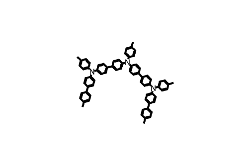 Cc1ccc(-c2ccc(N(c3ccc(C)cc3)c3ccc(-c4ccc(N(c5ccc(C)cc5)c5ccc(-c6ccc(N(c7ccc(C)cc7)c7ccc(-c8ccc(C)cc8)cc7)cc6)cc5)cc4)cc3)cc2)cc1